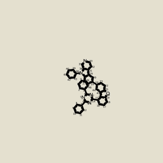 c1ccc(-c2nc(-c3ccccc3)nc(-c3cccc4oc5ccc(-c6ccc7c(c6)c6ccncc6n7-c6ccccc6)cc5c34)n2)cc1